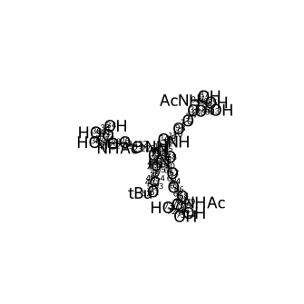 CC(=O)NC1C(OCCOCCOCCNC(=O)CN(CC(=O)NCCOCCOCCOC2OC(CO)C(O)C(O)C2NC(C)=O)C(Cc2ccc(-c3ccc(OC(C)(C)C)cc3)cc2)C(=O)NCCOCCOCCOC2OC(CO)C(O)C(O)C2NC(C)=O)OC(CO)C(O)C1O